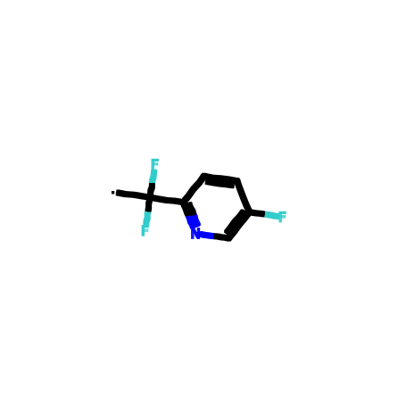 [CH2]C(F)(F)c1ccc(F)cn1